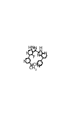 CN(C)c1cncc(-c2ncc3[nH]nc(-c4nc5c(-c6ccncc6)ccnc5[nH]4)c3c2F)c1